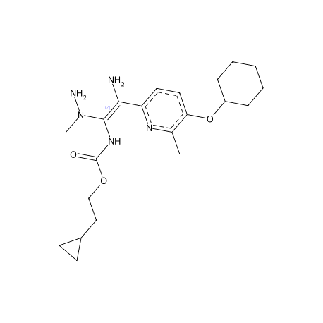 Cc1nc(/C(N)=C(\NC(=O)OCCC2CC2)N(C)N)ccc1OC1CCCCC1